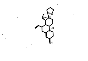 C=CC1CC2=CC(=N)CC[C@@H]2C2CC[C@@]3(CC)C(CC[C@@]34CCCO4)C12